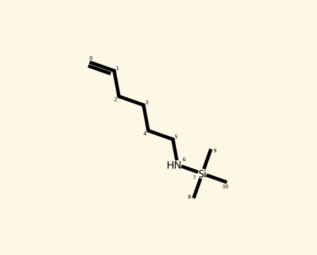 C=CCCCCN[Si](C)(C)C